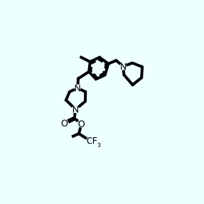 Cc1cc(CN2CCCCC2)ccc1CN1CCN(C(=O)OC(C)C(F)(F)F)CC1